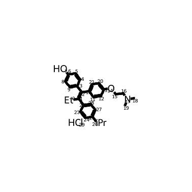 CC/C(=C(\c1ccc(O)cc1)c1ccc(OCCN(C)C)cc1)c1ccc(C(C)C)cc1.Cl